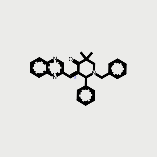 CC1(C)CN(Cc2ccccc2)C(c2ccccc2)/C(=C/c2cnc3ccccc3n2)C1=O